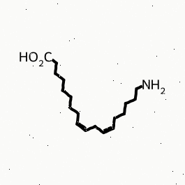 NCCCCC/C=C\C/C=C\CCCCCCCC(=O)O